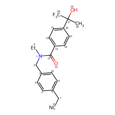 CCN(Cc1ccc(CC#N)cc1)C(=O)c1ccc(C(C)(O)C(F)(F)F)cc1